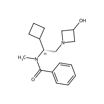 CN(C(=O)c1ccccc1)[C@@H](CN1CC(O)C1)C1CCC1